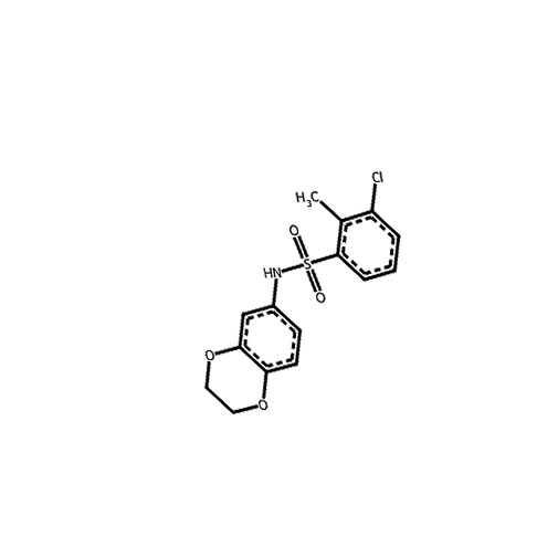 Cc1c(Cl)cccc1S(=O)(=O)Nc1ccc2c(c1)OCCO2